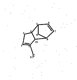 FC1=CCC2C3C=CC(C3)C12